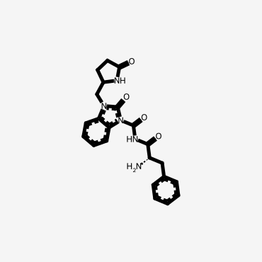 N[C@@H](Cc1ccccc1)C(=O)NC(=O)n1c(=O)n(CC2CCC(=O)N2)c2ccccc21